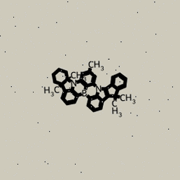 Cc1cc2c3c(c1)-n1c4c(c5cccc(c51)B3c1cccc3c1N2[C@@]1(C)CCCCC31C)C(C)(C)c1ccccc1-4